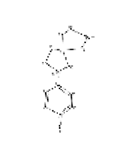 Clc1ccc(N2CCC3(CCNC3)C2)cc1